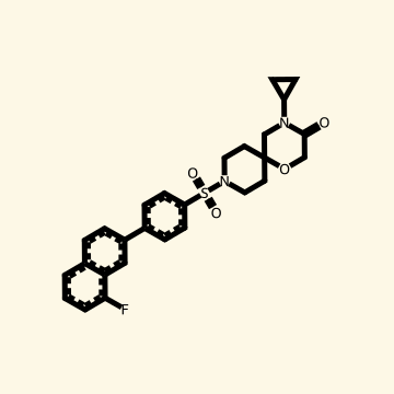 O=C1COC2(CCN(S(=O)(=O)c3ccc(-c4ccc5cccc(F)c5c4)cc3)CC2)CN1C1CC1